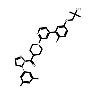 CC(C)(O)COc1ccc(F)c(-c2ccnc(N3CCC(C(=O)N4N=CC[C@H]4c4cc(F)cc(F)c4)CC3)c2)c1